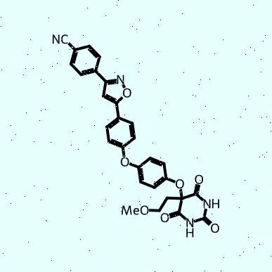 COCCC1(Oc2ccc(Oc3ccc(-c4cc(-c5ccc(C#N)cc5)no4)cc3)cc2)C(=O)NC(=O)NC1=O